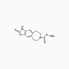 CC(C)(C)OC(=O)N1CCc2cc3[nH]c(=S)oc3cc2CC1